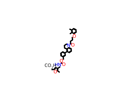 Cc1cccc(OCCCC(=O)N2CCCc3c(-c4cccc(COC(=O)NCc5c(C)oc(C)c5C(=O)O)c4)cccc32)c1C